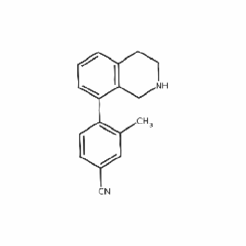 Cc1cc(C#N)ccc1-c1cccc2c1CNCC2